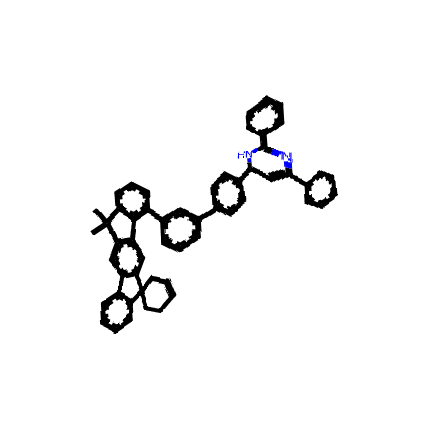 CC1(C)c2cc3c(cc2-c2c(-c4cccc(-c5ccc(C6C=C(c7ccccc7)N=C(c7ccccc7)N6)cc5)c4)cccc21)C1(CCCCC1)c1ccccc1-3